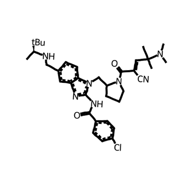 C[C@H](NCc1ccc2c(c1)nc(NC(=O)c1ccc(Cl)cc1)n2CC1CCCN1C(=O)/C(C#N)=C/C(C)(C)N(C)C)C(C)(C)C